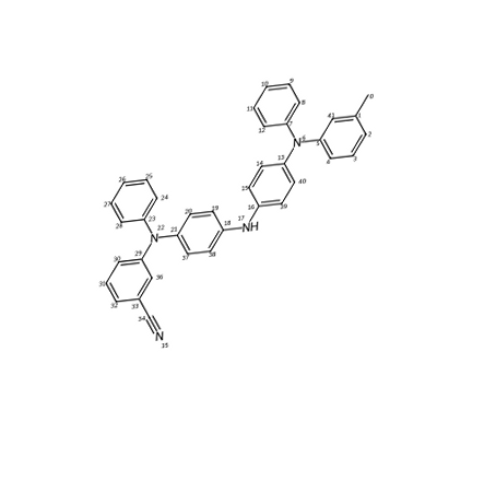 Cc1cccc(N(c2ccccc2)c2ccc(Nc3ccc(N(c4ccccc4)c4cccc(C#N)c4)cc3)cc2)c1